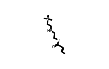 CC=CC(=O)OCCPCC[N+](C)(C)C